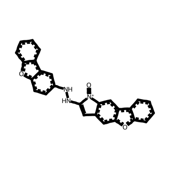 O=[N+]1C(NNc2ccc3oc4ccccc4c3c2)=Cc2cc3oc4ccccc4c3cc21